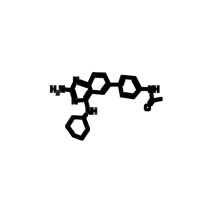 CC(=O)Nc1ccc(-c2ccc3nc(N)nc(NC4CCCCC4)c3c2)cc1